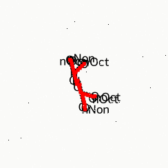 CCCCCCCCCOC(=O)CCCCCCC/C=C(\CCCCCCCC(=O)OC(CCCCCCCC)CCCCCCCC)CCCCC(=O)C=C1CCN(C(=O)CCCCN(CCCCCCCC(=O)OCCCCCCCCC)CCCCCCCC(=O)OC(CCCCCCCC)CCCCCCCC)CC1